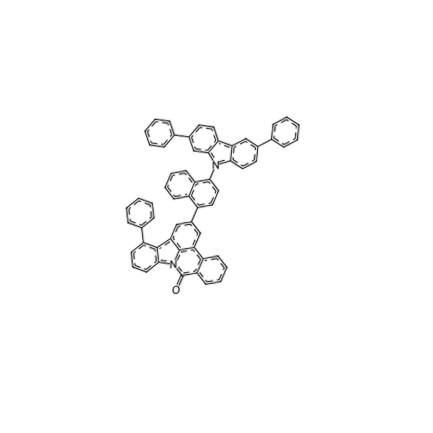 O=c1c2ccccc2c2cc(-c3ccc(-n4c5ccc(-c6ccccc6)cc5c5ccc(-c6ccccc6)cc54)c4ccccc34)cc3c4c(-c5ccccc5)cccc4n1c23